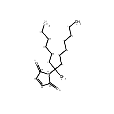 CCCCCCCC(C)(CCCCCC)N1C(=O)C=CC1=O